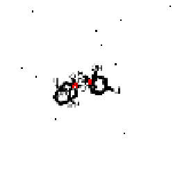 CC(C)(C)OC(=O)N1[C@@H]2CC[C@H]1C[C@H](Nc1ccc(Cl)cc1O)C2